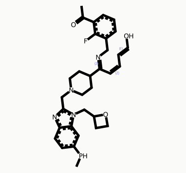 CPc1ccc2nc(CN3CCC(C(/C=C\C=C\O)=N/Cc4cccc(C(C)=O)c4F)CC3)n(CC3CCO3)c2c1